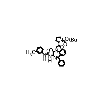 Cc1cccc(NC(=O)N[C@@H]2N=C(c3ccccc3)c3ccccc3N(CC(=O)[C@H]3CCCN3C(=O)OC(C)(C)C)C2=O)c1